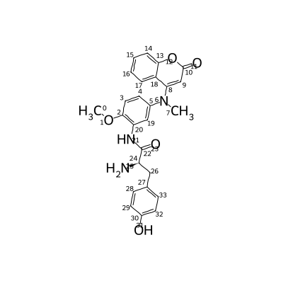 COc1ccc(N(C)c2cc(=O)oc3ccccc23)cc1NC(=O)[C@H](N)Cc1ccc(O)cc1